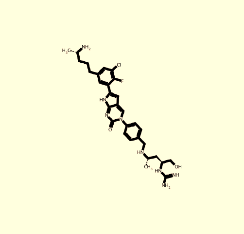 C[C@H](N)CCCc1cc(Cl)c(F)c(-c2cc3cn(-c4ccc(CN[C@@H](C)C[C@@H](CO)NC(=N)N)cc4)c(=O)nc3[nH]2)c1